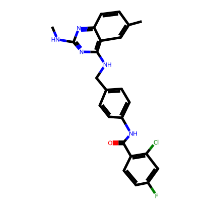 CNc1nc(NCc2ccc(NC(=O)c3ccc(F)cc3Cl)cc2)c2cc(C)ccc2n1